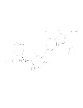 CC(=O)c1c(C)nc2c(F)cc(-c3nc(N[C@@H]4CCOC[C@H]4O)ncc3F)cn12